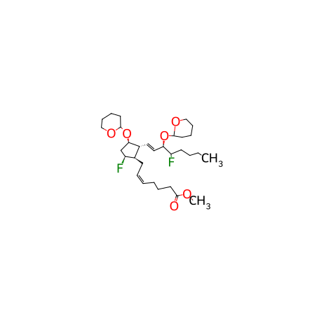 CCCCC(F)[C@@H](/C=C/[C@@H]1[C@@H](C/C=C\CCCC(=O)OC)[C@@H](F)C[C@H]1OC1CCCCO1)OC1CCCCO1